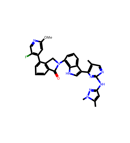 COc1cc(-c2cccc3c2CN(c2cccc4c(-c5nc(Nc6cc(C)n(C)n6)ncc5C)c[nH]c24)C3=O)c(F)cn1